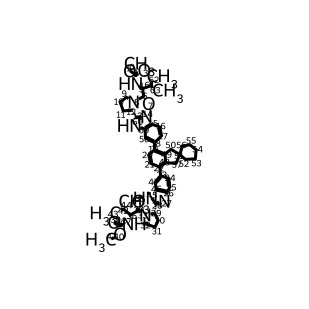 COC(=O)N[C@H](C(=O)N1CCC[C@H]1c1nc2ccc(-c3ccc(-c4ccc5nc([C@@H]6CCCN6C(=O)[C@@H](NC(=O)OC)C(C)C)[nH]c5c4)c4c3CC3(CCCCC3)C4)cc2[nH]1)C(C)C